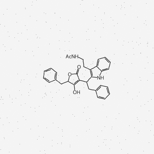 CC(=O)NCCc1c(C(Cc2ccccc2)C2=C(O)C(Cc3ccccc3)OC2=O)[nH]c2ccccc12